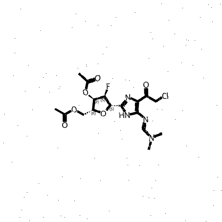 CC(=O)OC[C@H]1O[C@@H](c2nc(C(=O)CCl)c(N=CN(C)C)[nH]2)[C@H](F)[C@@H]1OC(C)=O